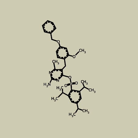 COc1cc(OCc2ccccc2)ccc1Cc1c(C)nc(N)nc1OS(=O)(=O)c1c(C(C)C)cc(C(C)C)cc1C(C)C